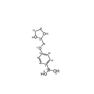 OB(O)c1ccc(OCC2OCCO2)cc1